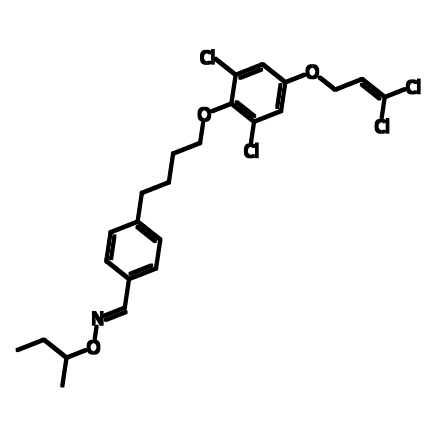 CCC(C)ON=Cc1ccc(CCCCOc2c(Cl)cc(OCC=C(Cl)Cl)cc2Cl)cc1